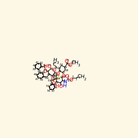 C=CCOC(=O)NC1C(O)C2OC[C@@H]2S[C@H]1OC1CC(C(=O)OC)C[C@@H](CC)C1OC1OC(O)C(OCc2ccccc2)C(Cc2ccccc2)C1OCc1ccccc1